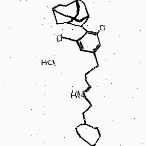 Cl.Clc1cc(CCCNCCC2CCCCC2)cc(Cl)c1C1C2CC3CC(C2)CC1C3